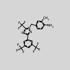 Cc1cc(Cn2nc(-c3cc(C(F)(F)F)cc(C(F)(F)F)c3)nc2C(F)(F)F)ccc1N